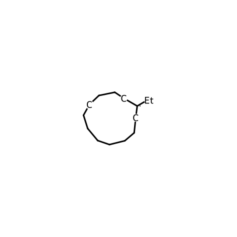 CC[C]1CCCCCCCCCCC1